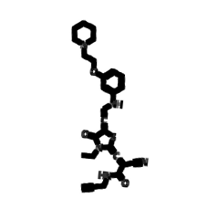 C#CCNC(=O)C(=C=c1sc(=C=CNc2cccc(OCCN3CCCCC3)c2)c(=O)n1CC)C#N